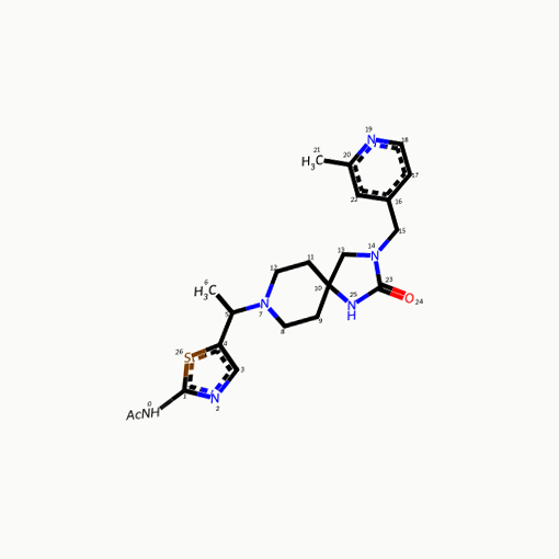 CC(=O)Nc1ncc(C(C)N2CCC3(CC2)CN(Cc2ccnc(C)c2)C(=O)N3)s1